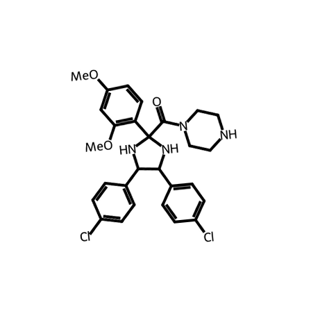 COc1ccc(C2(C(=O)N3CCNCC3)NC(c3ccc(Cl)cc3)C(c3ccc(Cl)cc3)N2)c(OC)c1